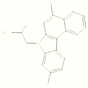 CCCCC(CC)Cn1c2cc(C)ccc2c2c3ccccc3c(C)cc21